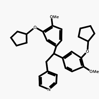 COc1ccc(C(Cc2ccncc2)c2ccc(OC)c(OC3CCCC3)c2)cc1OC1CCCC1